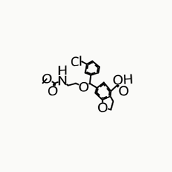 COC(=O)NCCOC(c1cccc(Cl)c1)c1cc2c(c(C(=O)O)c1)CCO2